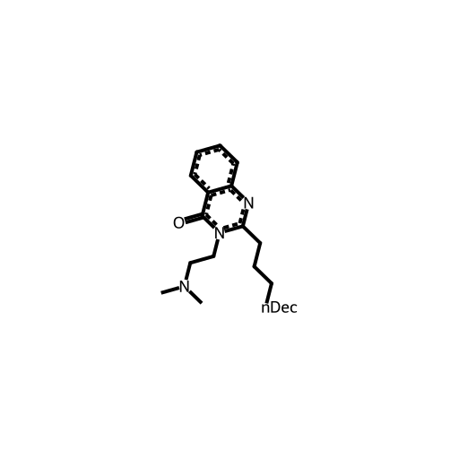 CCCCCCCCCCCCCc1nc2ccccc2c(=O)n1CCN(C)C